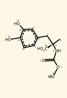 CC(C)(C)OC(=O)N[C@@](C)(Cc1ccc(O)c(O)c1)C(=O)O